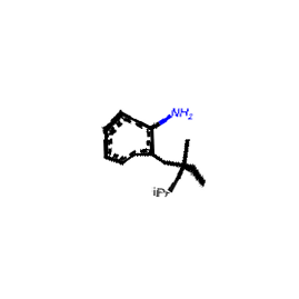 CC(C)C(C)(C)c1ccccc1N